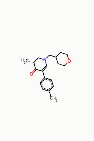 Cc1ccc(C2=CN(CC3CCOCC3)C[C@@H](C)C2=O)cc1